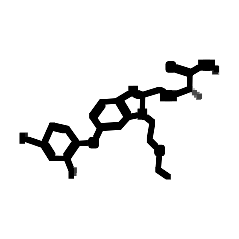 CCOCCn1c(CN[C@@H](C)C(N)=O)nc2ccc(Oc3ccc(F)cc3F)cc21